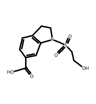 O=C(O)c1ccc2c(c1)N(S(=O)(=O)CCO)CC2